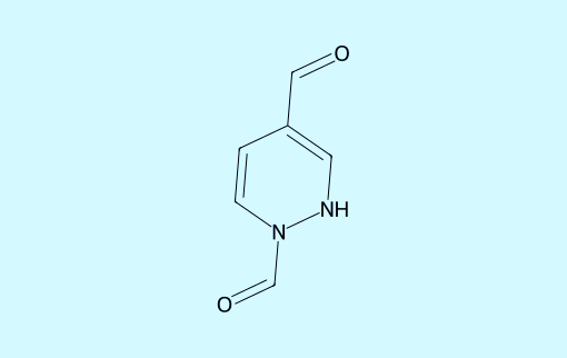 O=CC1=CNN(C=O)C=C1